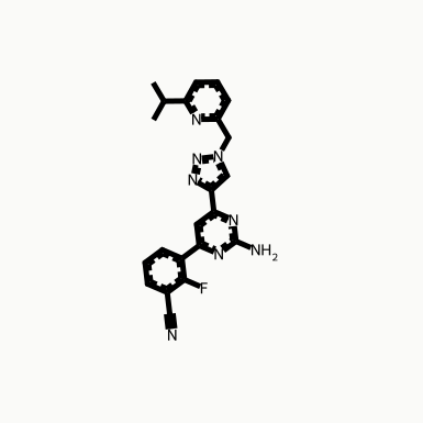 CC(C)c1cccc(Cn2cc(-c3cc(-c4cccc(C#N)c4F)nc(N)n3)nn2)n1